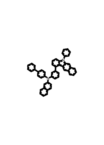 c1ccc(-c2ccc(N(c3cccc(-c4cccc5c4c4cc6ccccc6cc4n5-c4ccccc4)c3)c3ccc4ccccc4c3)cc2)cc1